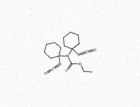 CCOC(=O)N(C1(N=C=O)CCCCC1)C1(N=C=O)CCCCC1